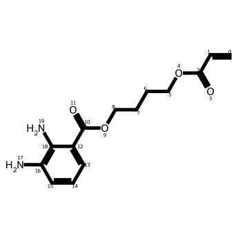 C=CC(=O)OCCCCOC(=O)c1cccc(N)c1N